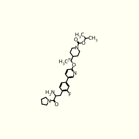 CC(C)OC(=O)N1CCC([C@@H](C)Oc2ccc(-c3ccc(CC(N)C(=O)N4CCCC4)c(F)c3)cn2)CC1